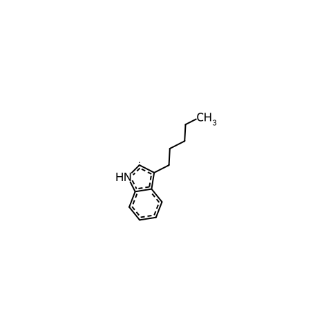 CCCCCc1[c][nH]c2ccccc12